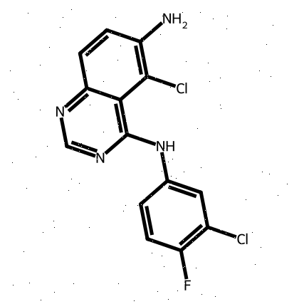 Nc1ccc2ncnc(Nc3ccc(F)c(Cl)c3)c2c1Cl